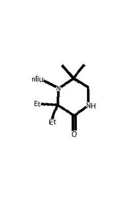 CCCCN1C(C)(C)CNC(=O)C1(CC)CC